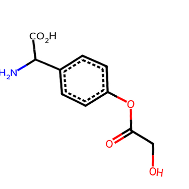 NC(C(=O)O)c1ccc(OC(=O)CO)cc1